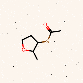 CC(=O)SC1CCOC1C